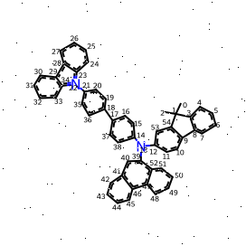 CC1(C)c2ccccc2-c2ccc(N(c3ccc(-c4ccc(-n5c6ccccc6c6ccccc65)cc4)cc3)c3cc4ccccc4c4ccccc34)cc21